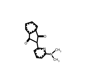 CN(C)c1cccc(C2C(=O)c3ccccc3C2=O)n1